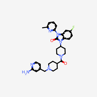 Cc1cccc(-n2c(=O)n(C3CCN(C(=O)C4CCN(Cc5ccnc(N)c5)CC4)CC3)c3ccc(F)cc32)n1